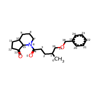 CC(CCC(=O)N1CCCC2CCC(=O)C21)COCc1ccccc1